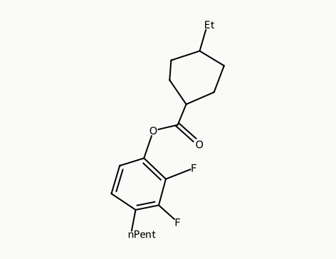 CCCCCc1ccc(OC(=O)C2CCC(CC)CC2)c(F)c1F